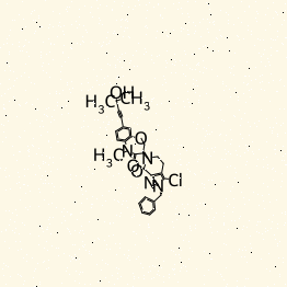 CN1C(=O)[C@H](N2CCc3c(nn(Cc4ccccc4)c3Cl)C2=O)COc2cc(C#CC(C)(C)O)ccc21